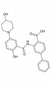 O=C(Nc1cc(-c2ccccc2)ccc1C(=O)O)c1cc(N2CCC(O)CC2)ccc1O